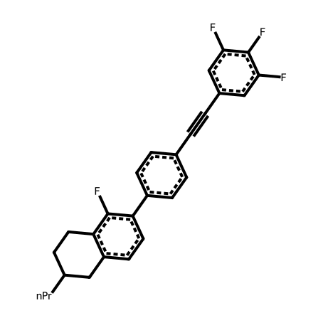 CCCC1CCc2c(ccc(-c3ccc(C#Cc4cc(F)c(F)c(F)c4)cc3)c2F)C1